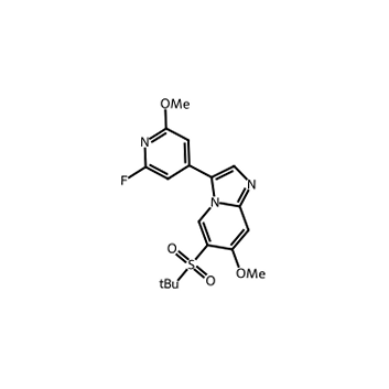 COc1cc(-c2cnc3cc(OC)c(S(=O)(=O)C(C)(C)C)cn23)cc(F)n1